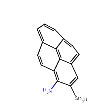 Nc1c(S(=O)(=O)O)cc2ccc3cccc4ccc1c2c34